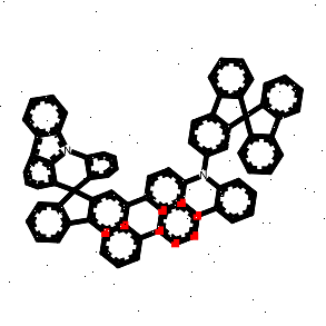 c1ccc(-c2ccc(-c3ccccc3N(c3ccc4c(c3)C3(c5ccccc5-c5ccccc53)c3ccccc3-4)c3ccc(-c4ccc5c(c4)C4(c6ccccc6-5)c5ccccc5-n5c6ccccc6c6cccc4c65)c4ccccc34)cc2)cc1